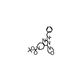 CN(Cc1ccccc1)c1nc2c(c(N3CCOCC3)n1)CCN(C(=O)OC(C)(C)C)CC2